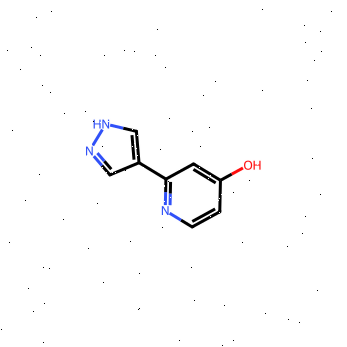 Oc1ccnc(-c2cn[nH]c2)c1